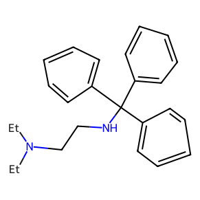 CCN(CC)CCNC(c1ccccc1)(c1ccccc1)c1ccccc1